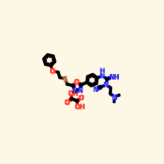 CN(C)CCN(C#N)C(=N)Nc1ccc(-c2nnc(CSCCOc3ccccc3)o2)cc1.O=C(O)C(=O)O